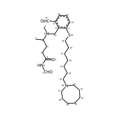 CC(CCC(=O)NC=O)N(C)Cc1c(C=O)cccc1SCCCCCCCN1CCCCCCC1